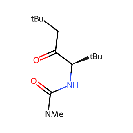 CNC(=O)N[C@@H](C(=O)CC(C)(C)C)C(C)(C)C